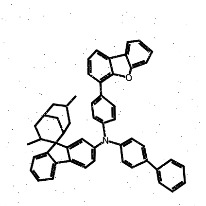 CC1CC2CC(C)C3(c4ccccc4-c4ccc(N(c5ccc(-c6ccccc6)cc5)c5ccc(-c6cccc7c6oc6ccccc67)cc5)cc43)C(C1)C2